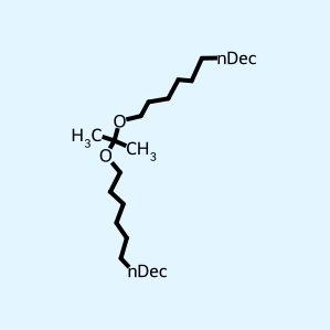 CCCCCCCCCCCCCCCCOC(C)(C)OCCCCCCCCCCCCCCCC